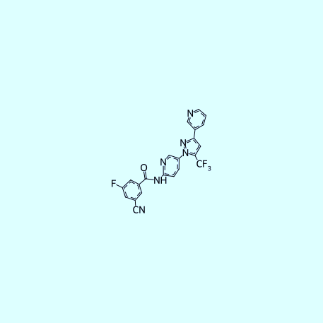 N#Cc1cc(F)cc(C(=O)Nc2ccc(-n3nc(-c4cccnc4)cc3C(F)(F)F)cn2)c1